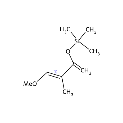 C=C(O[Si](C)(C)C)/C(C)=C/OC